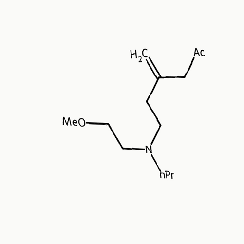 C=C(CCN(CCC)CCOC)CC(C)=O